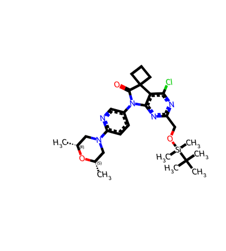 C[C@@H]1CN(c2ccc(N3C(=O)C4(CCC4)c4c(Cl)nc(CO[Si](C)(C)C(C)(C)C)nc43)cn2)C[C@H](C)O1